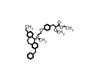 CCOC(=O)C(Cc1ccc(OCCN(C)C2c3ccc(CC)cc3CCc3cc(Cc4ccccc4)ccc32)cc1)OC